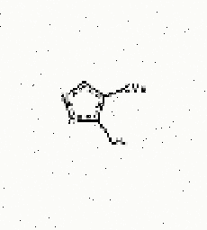 CSc1cnoc1C